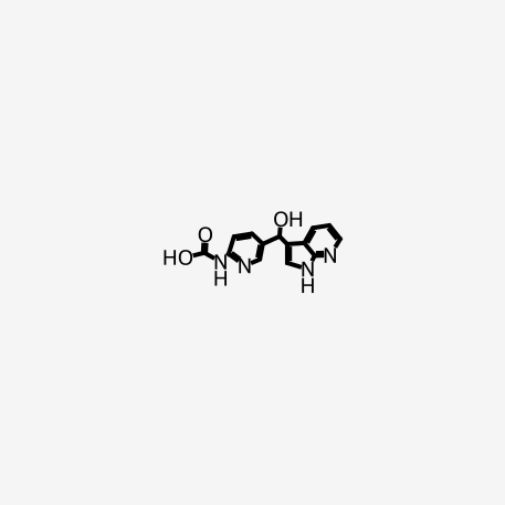 O=C(O)Nc1ccc(C(O)c2c[nH]c3ncccc23)cn1